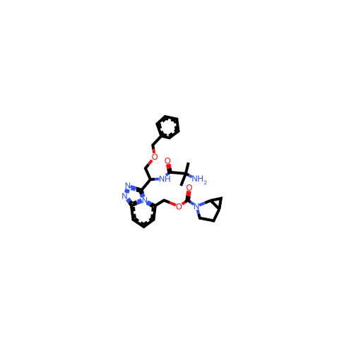 CC(C)(N)C(=O)NC(COCc1ccccc1)c1nnc2cccc(COC(=O)N3CCC4CC43)n12